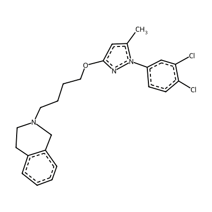 Cc1cc(OCCCCN2CCc3ccccc3C2)nn1-c1ccc(Cl)c(Cl)c1